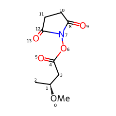 CO[C@@H](C)CC(=O)ON1C(=O)CCC1=O